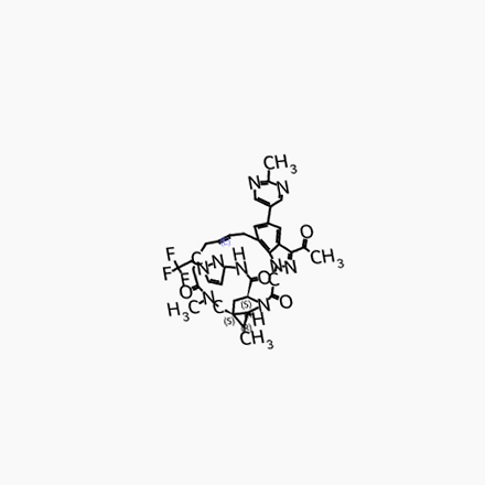 CC(=O)c1nn2c3c(cc(-c4cnc(C)nc4)cc13)C/C=C/CCCC(=O)N(C)C[C@@]13C[C@@H](C(=O)Nc4ccn(CC(F)(F)F)n4)N(C(=O)C2)[C@@H]1[C@@H]3C